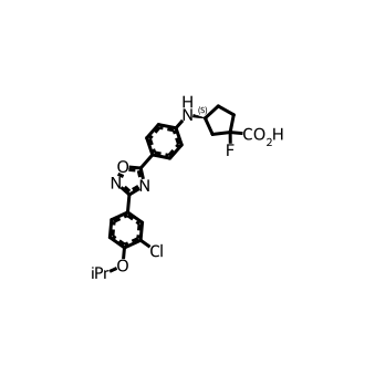 CC(C)Oc1ccc(-c2noc(-c3ccc(N[C@H]4CCC(F)(C(=O)O)C4)cc3)n2)cc1Cl